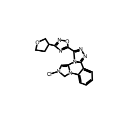 ClN1C=C2N(C1)c1ccccc1-c1nnc(-c3nc(C4CCOC4)no3)n12